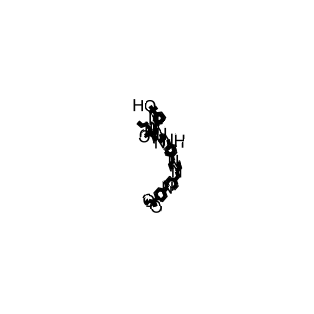 C=CCn1c(=O)c2cnc(Nc3ccc(N4CCN(CC5CCN(C6CCC(C(=O)OC)CC6)CC5)CC4)cc3)nc2n1-c1cccc(C(C)(C)O)n1